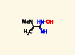 C=C(NC)C(=N)NO